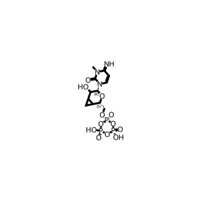 Cn1c(=N)ccn([C@@H]2O[C@H](COP3(=O)OP(=O)(O)OP(=O)(O)O3)C3CC3C2O)c1=O